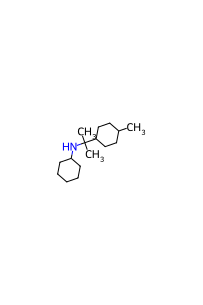 CC1CCC(C(C)(C)NC2CCCCC2)CC1